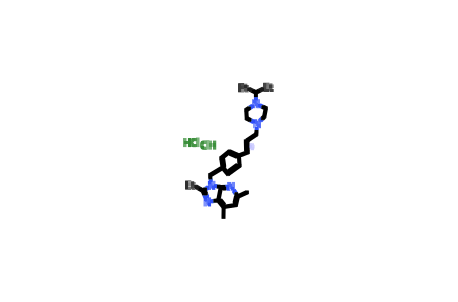 CCc1nc2c(C)cc(C)nc2n1Cc1ccc(/C=C/CN2CCN(C(CC)CC)CC2)cc1.Cl.Cl